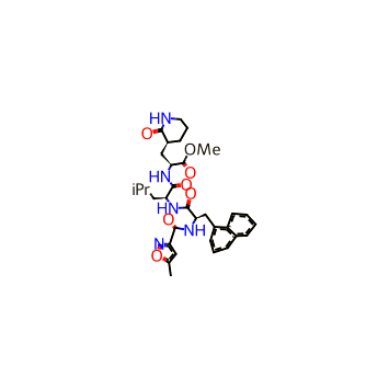 COC(=O)[C@H](C[C@@H]1CCCNC1=O)NC(=O)[C@H](CC(C)C)NC(=O)[C@@H](Cc1cccc2ccccc12)NC(=O)c1cc(C)on1